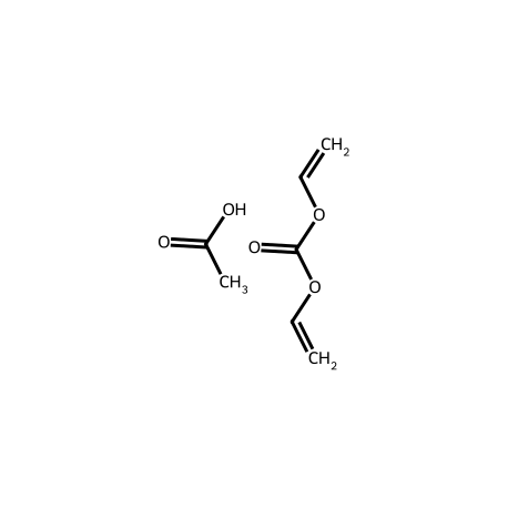 C=COC(=O)OC=C.CC(=O)O